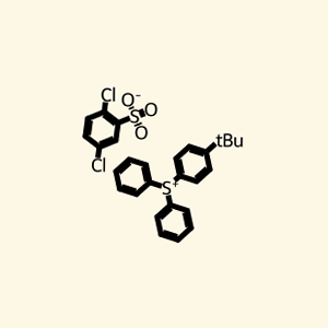 CC(C)(C)c1ccc([S+](c2ccccc2)c2ccccc2)cc1.O=S(=O)([O-])c1cc(Cl)ccc1Cl